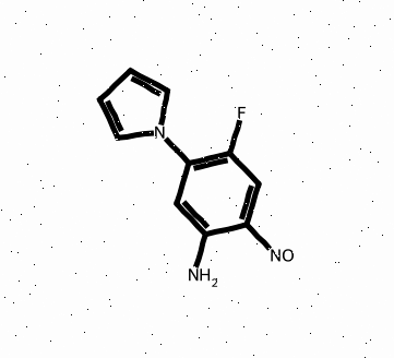 Nc1cc(-n2cccc2)c(F)cc1N=O